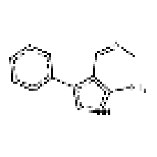 C/N=C\c1c(-c2ccccc2)c[nH]c1N